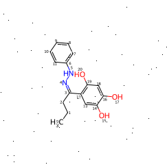 CCCC(=NNc1ccccc1)c1cc(O)c(O)cc1O